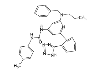 CCCN(Cc1ccccc1)c1cc(NC(=O)Nc2ccc(C)cc2)cc(-c2ccccc2-c2nnn[nH]2)n1